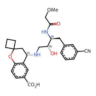 COCC(=O)N[C@@H](Cc1cccc(C#N)c1)[C@H](O)CN[C@H]1CC2(CCC2)Oc2ccc(C(=O)O)cc21